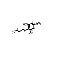 CCCCCc1c(C)cc(N)cc1C